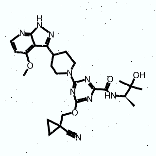 COc1ccnc2[nH]nc(C3CCN(c4nc(OCC5(C#N)CC5)nc(C(=O)N[C@H](C)C(C)(C)O)n4)CC3)c12